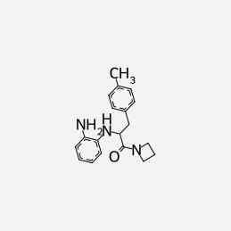 Cc1ccc(CC(Nc2ccccc2N)C(=O)N2CCC2)cc1